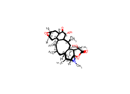 CN[C@@]12C[C@H](C)C3C([C@H](OC(C)=O)[C@H](OC(C)=O)C[C@H]1[C@H](C)[C@H]1N(C)[C@]14OC(=O)[C@@](C)(O)[C@]24C)[C@@]1(C)C[C@H]2O[C@H]2C[C@@H]1C(=O)[C@@H]3O